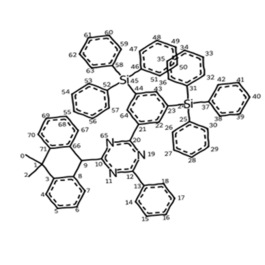 CC1(C)c2ccccc2C(c2nc(-c3ccccc3)nc(-c3cc([Si](c4ccccc4)(c4ccccc4)c4ccccc4)cc([Si](c4ccccc4)(c4ccccc4)c4ccccc4)c3)n2)c2ccccc21